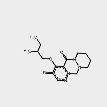 CCC(C)COc1c2n(ncc1=O)CN1CCCCN1C2=O